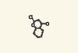 O=c1cc(Cl)oc2ccccc12